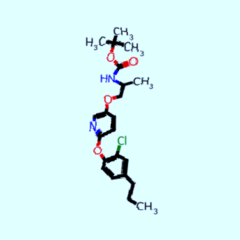 CCCc1ccc(Oc2ccc(OCC(C)NC(=O)OC(C)(C)C)cn2)c(Cl)c1